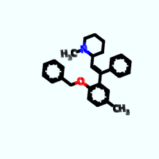 Cc1ccc(OCc2ccccc2)c(/C(=C/C2CCCCN2C)c2ccccc2)c1